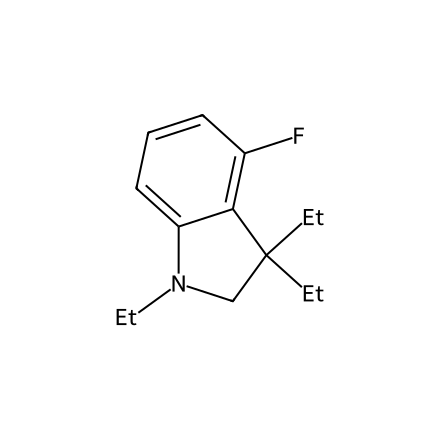 CCN1CC(CC)(CC)c2c(F)cccc21